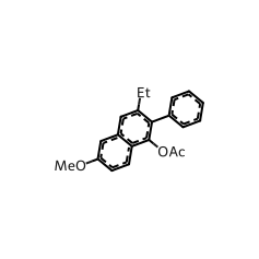 CCc1cc2cc(OC)ccc2c(OC(C)=O)c1-c1ccccc1